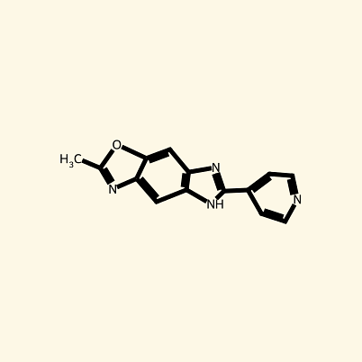 Cc1nc2cc3[nH]c(-c4ccncc4)nc3cc2o1